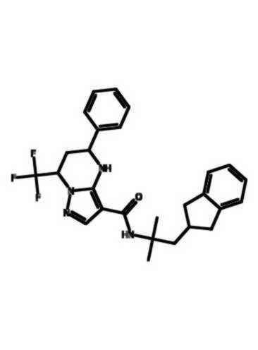 CC(C)(CC1Cc2ccccc2C1)NC(=O)c1cnn2c1NC(c1ccccc1)CC2C(F)(F)F